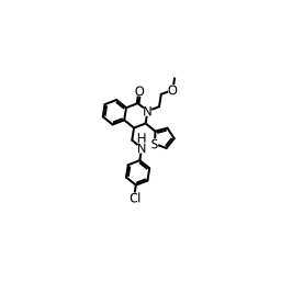 COCCN1C(=O)c2ccccc2C(CNc2ccc(Cl)cc2)C1c1cccs1